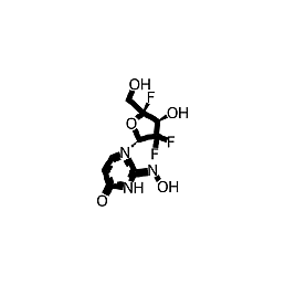 O=c1ccn([C@@H]2O[C@](F)(CO)[C@@H](O)C2(F)F)/c(=N/O)[nH]1